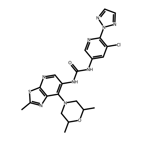 Cc1nc2c(N3CC(C)OC(C)C3)c(NC(=O)Nc3cnc(-n4nccn4)c(Cl)c3)cnc2s1